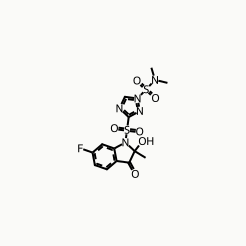 CN(C)S(=O)(=O)n1cnc(S(=O)(=O)N2c3cc(F)ccc3C(=O)C2(C)O)n1